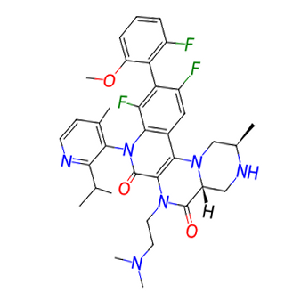 COc1cccc(F)c1-c1c(F)cc2c3c(c(=O)n(-c4c(C)ccnc4C(C)C)c2c1F)N(CCN(C)C)C(=O)[C@H]1CN[C@H](C)CN31